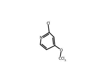 Clc1cc(OC(Cl)(Cl)Cl)ccn1